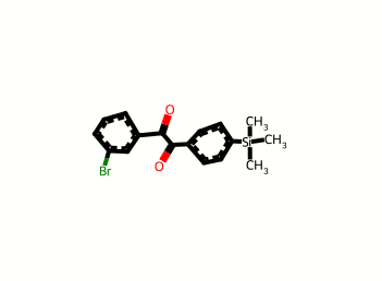 C[Si](C)(C)c1ccc(C(=O)C(=O)c2cccc(Br)c2)cc1